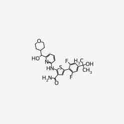 CC(C)(O)c1cc(F)c(-c2cc(C(N)=O)c(Nc3cccc(C(O)C4CCOCC4)n3)s2)c(F)c1